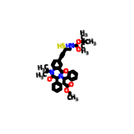 CCOC(=O)CC(c1ccccc1)N1C(=O)c2cc(C#CC(S)CNC(=O)OC(C)(C)C)ccc2N(C(C)C)C(=O)C1c1ccccc1